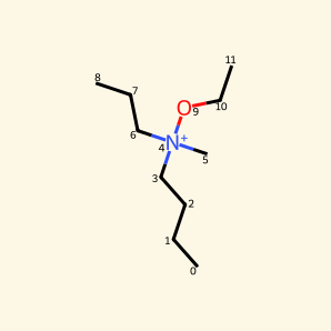 CCCC[N+](C)(CCC)OCC